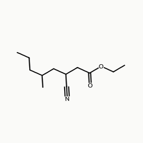 CCCC(C)CC(C#N)CC(=O)OCC